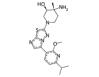 COc1nc(C(C)C)ccc1-c1cnc2sc(N3CC[C@@](C)(N)[C@H](O)C3)nn12